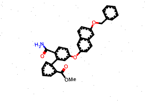 COC(=O)c1ccccc1-c1cc(Oc2ccc3cc(OCc4ccccc4)ccc3c2)ccc1C(N)=O